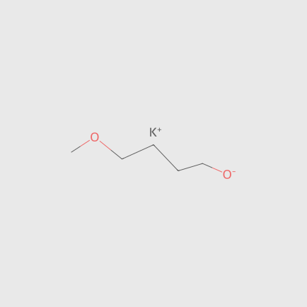 COCCCC[O-].[K+]